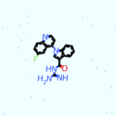 N=C(N)NC(=O)c1cn(-c2ccnc3ccc(F)cc23)c2ccccc12